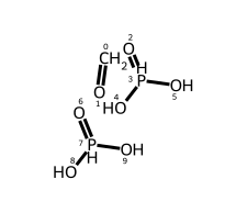 C=O.O=[PH](O)O.O=[PH](O)O